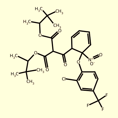 CC(OC(=O)C(C(=O)OC(C)C(C)(C)C)C(=O)C1C=CC=CC1(Oc1ccc(C(F)(F)F)cc1Cl)[N+](=O)[O-])C(C)(C)C